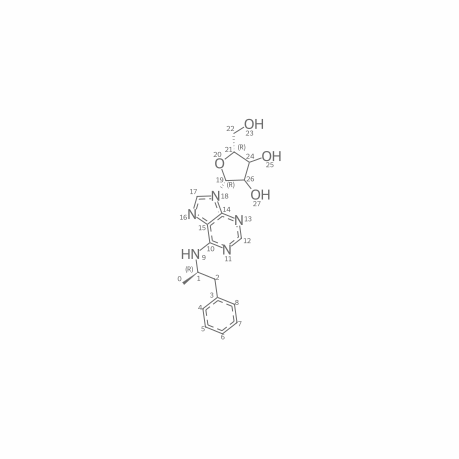 C[C@H](Cc1ccccc1)Nc1ncnc2c1ncn2[C@@H]1O[C@H](CO)C(O)C1O